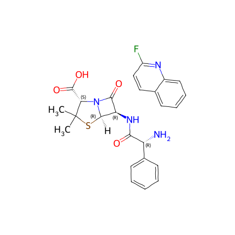 CC1(C)S[C@@H]2[C@H](NC(=O)[C@H](N)c3ccccc3)C(=O)N2[C@H]1C(=O)O.Fc1ccc2ccccc2n1